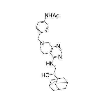 CC(=O)Nc1ccc(CN2CCc3c(ncnc3NCC(O)C34CC5CC(CC(C5)C3)C4)C2)cc1